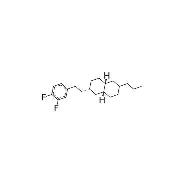 CCCC1CC[C@@H]2C[C@H](CCc3ccc(F)c(F)c3)CC[C@@H]2C1